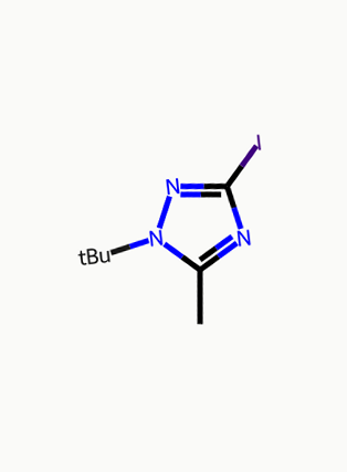 Cc1nc(I)nn1C(C)(C)C